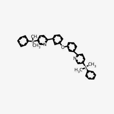 CS(C)(c1ccccc1)c1ccc(-c2cccc(Oc3cccc(-c4ccc(S(C)(C)c5ccccc5)cn4)c3)c2)nc1